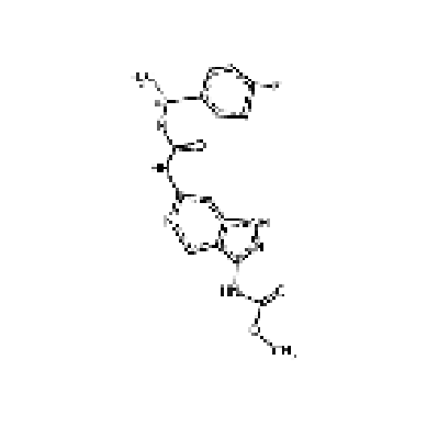 COC(=O)Nc1n[nH]c2cc(NC(=O)N[C@H](C)c3ccc(F)cc3)ncc12